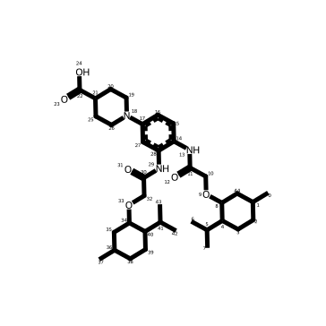 CC1CCC(C(C)C)C(OCC(=O)Nc2ccc(N3CCC(C(=O)O)CC3)cc2NC(=O)COC2CC(C)CCC2C(C)C)C1